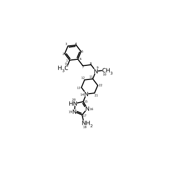 Cc1ccccc1CCN(C)C1CCN(c2nc(N)n[nH]2)CC1